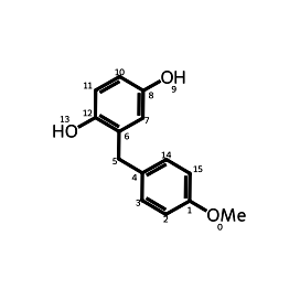 COc1ccc(Cc2cc(O)ccc2O)cc1